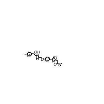 Cc1ccc([C@@H](O)CNCCOc2ccc(-c3coc(CC(=O)N(C)C)n3)cc2)cn1